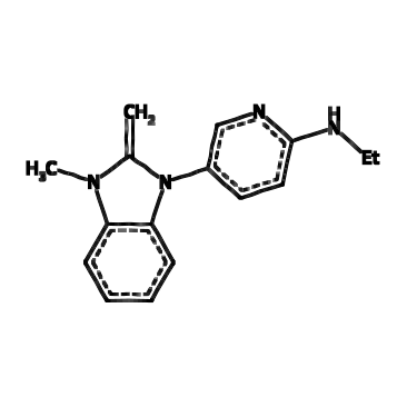 C=C1N(C)c2ccccc2N1c1ccc(NCC)nc1